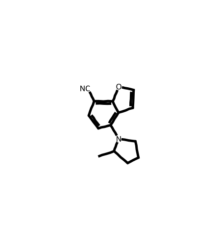 CC1CCCN1c1ccc(C#N)c2occc12